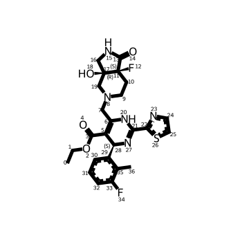 CCOC(=O)C1=C(CN2CC[C@@]3(F)C(=O)NC[C@@]3(O)C2)NC(c2nccs2)=N[C@H]1c1cccc(F)c1C